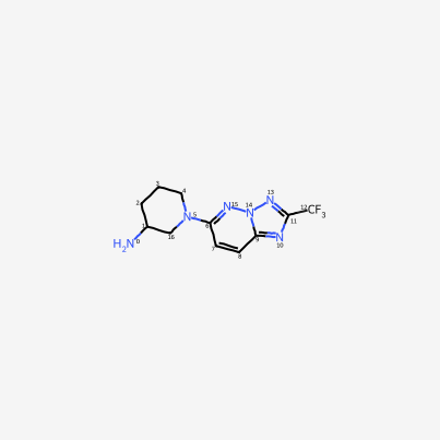 NC1CCCN(c2ccc3nc(C(F)(F)F)nn3n2)C1